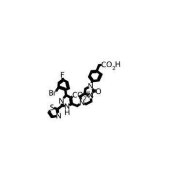 CCOC(=O)C1=C(CN2CCN3C(=O)N(c4ccc(CC(=O)O)cc4)CC3C2)NC(c2nccs2)=NC1c1ccc(F)cc1Br